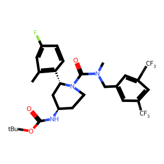 Cc1cc(F)ccc1[C@H]1C[C@H](NC(=O)OC(C)(C)C)CCN1C(=O)N(C)Cc1cc(C(F)(F)F)cc(C(F)(F)F)c1